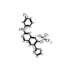 O=S(=O)(Oc1cc2nc(Nc3cccc(F)c3)ncc2cc1-c1nccs1)C(F)(F)F